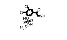 O=C([CH2][Na])c1ccc(Cl)c(Cl)c1.O=S(O)(O)=S.S